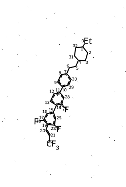 CCC1CCC(CCc2ccc(-c3ccc(-c4cc(F)c(/C=C/C(F)(F)F)c(F)c4)c(F)c3)cc2)CC1